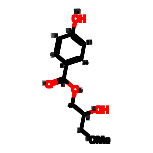 COCC(O)COC(=O)c1ccc(O)cc1